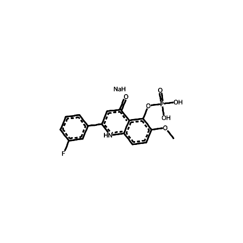 COc1ccc2[nH]c(-c3cccc(F)c3)cc(=O)c2c1OP(=O)(O)O.[NaH]